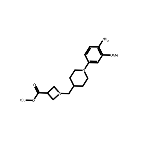 COc1cc(N2CCC(CN3CC(C(=O)OC(C)(C)C)C3)CC2)ccc1N